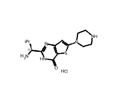 CC(C)[C@H](N)c1nc2cc(N3CCNCC3)sc2c(=O)[nH]1.Cl